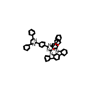 c1ccc(-c2cccc(-n3c4ccccc4c4ccc5c6ccccc6n(-c6nc(-c7ccccc7)nc(-c7ccc(-c8nc(-c9ccccc9)cc(-c9ccccc9)n8)cc7)n6)c5c43)c2)cc1